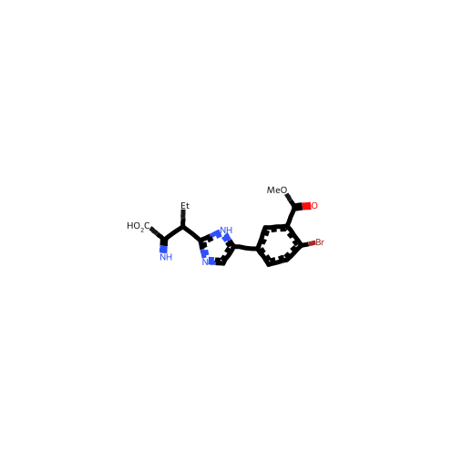 CCC(C(=N)C(=O)O)c1ncc(-c2ccc(Br)c(C(=O)OC)c2)[nH]1